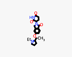 CCN1CCCC1[C@@H](C)Oc1ccc2c(c1)CN(C1CCC(=O)NC1=O)C2=O